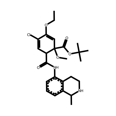 CCOC1=CC(OC)(C(=O)OC(C)(C)C)C(C(=O)Nc2cccc3c2CCNC3C)C=C1Cl